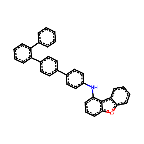 c1ccc(-c2ccccc2-c2ccc(-c3ccc(Nc4cccc5oc6ccccc6c45)cc3)cc2)cc1